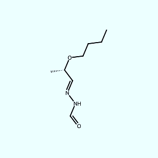 CCCCO[C@@H](C)C=NNC=O